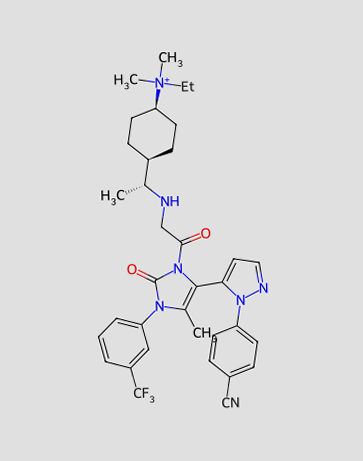 CC[N+](C)(C)[C@H]1CC[C@@H]([C@@H](C)NCC(=O)n2c(-c3ccnn3-c3ccc(C#N)cc3)c(C)n(-c3cccc(C(F)(F)F)c3)c2=O)CC1